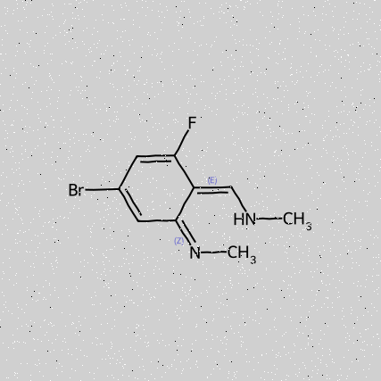 C/N=C1/C=C(Br)C=C(F)/C1=C/NC